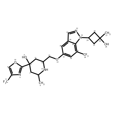 CC1CC(O)(c2nc(C(F)(F)F)co2)CC(COc2cc(C(F)(F)F)c3c(cnn3C3CC(C)(O)C3)c2)N1